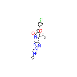 O=C(c1cc(-c2ccc(Cl)cc2)oc1C(F)(F)F)N1CCc2cnc(N3CCN(C4CCC4)CC3)nc2CC1